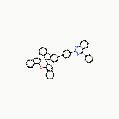 c1ccc(-c2nc(-c3ccc(-c4ccc5c(c4)-c4ccccc4C54c5ccc6ccccc6c5Oc5c4ccc4ccccc54)cc3)nc3ccccc23)cc1